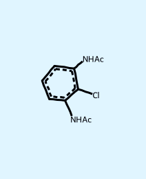 CC(=O)Nc1cccc(NC(C)=O)c1Cl